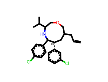 C=CCC1COCC(C(C)C)NC(c2ccc(Cl)cc2)[C@@H](c2cccc(Cl)c2)C1